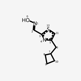 O/N=C/c1nc(CC2CCC2)cs1